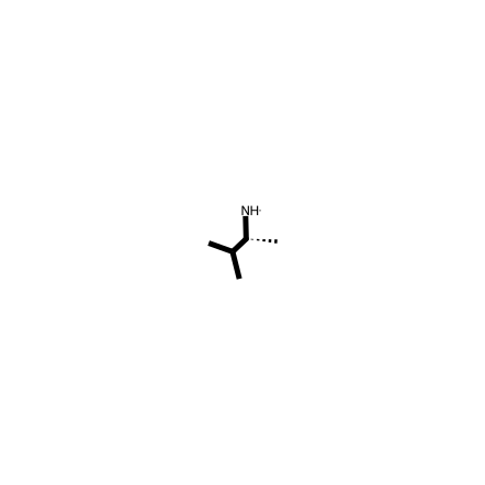 CC(C)[C@@H](C)[NH]